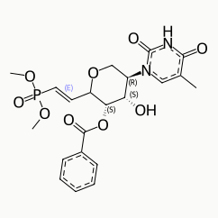 COP(=O)(/C=C/C1OC[C@@H](n2cc(C)c(=O)[nH]c2=O)[C@H](O)[C@@H]1OC(=O)c1ccccc1)OC